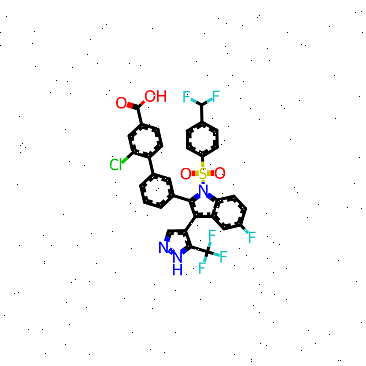 O=C(O)c1ccc(-c2cccc(-c3c(-c4cn[nH]c4C(F)(F)F)c4cc(F)ccc4n3S(=O)(=O)c3ccc(C(F)F)cc3)c2)c(Cl)c1